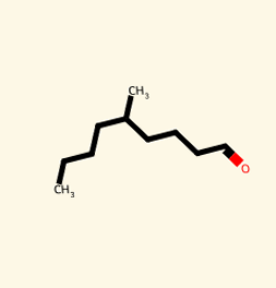 CCCCC(C)CCCC=O